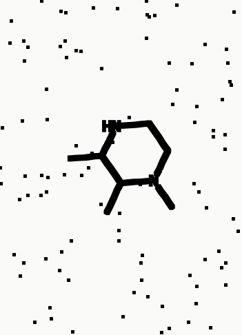 CC1NCCN(C)C1C